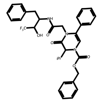 CC(C)C1C(=O)N(CC(=O)NC(Cc2ccccc2)C(O)C(F)(F)F)C(c2ccccc2)=CN1C(=O)OCc1ccccc1